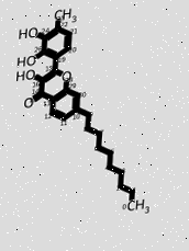 CCCCCCCCCCc1ccc2c(=O)c(O)c(-c3ccc(C)c(O)c3O)oc2c1